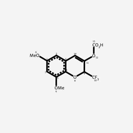 COc1cc2c(c(OC)c1)OC(C(F)(F)F)C(OC(=O)O)=C2